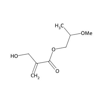 C=C(CO)C(=O)OCC(C)OC